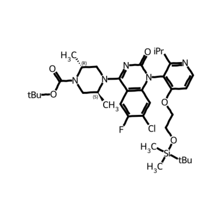 CC(C)c1nccc(OCCO[Si](C)(C)C(C)(C)C)c1-n1c(=O)nc(N2C[C@@H](C)N(C(=O)OC(C)(C)C)C[C@@H]2C)c2cc(F)c(Cl)cc21